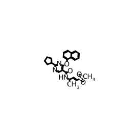 CC(C=CS(C)(=O)=O)NC(=O)c1cnc(C2CCCC2)nc1Oc1cccc2ccccc12